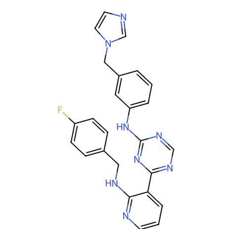 Fc1ccc(CNc2ncccc2-c2ncnc(Nc3cccc(Cn4ccnc4)c3)n2)cc1